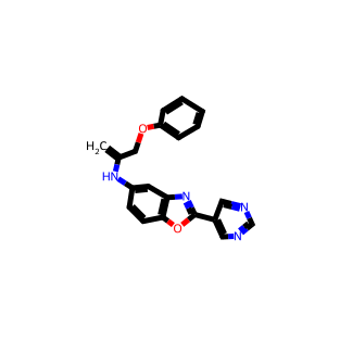 C=C(COc1ccccc1)Nc1ccc2oc(-c3cncnc3)nc2c1